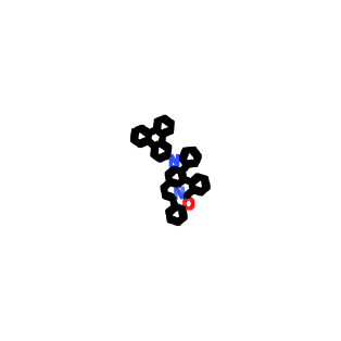 O=c1c2ccccc2c2c3c4ccccc4n(-c4ccc5c6ccccc6c6ccccc6c5c4)c3cc3c2n1C(c1ccccc1)=CC3